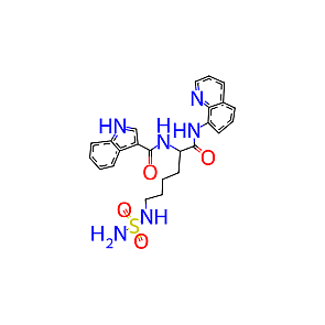 NS(=O)(=O)NCCCCC(NC(=O)c1c[nH]c2ccccc12)C(=O)Nc1cccc2cccnc12